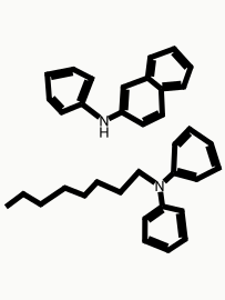 CCCCCCCCN(c1ccccc1)c1ccccc1.c1ccc(Nc2ccc3ccccc3c2)cc1